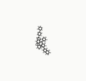 c1ccc(-c2ccc(-c3nc4cc5oc6ccccc6c5c(N(c5ccccc5)c5ccc(-c6ccc7ccccc7c6)cc5)c4s3)cc2)cc1